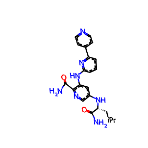 CC(C)C[C@@H](Nc1cnc(C(N)=O)c(Nc2cccc(-c3ccncc3)n2)c1)C(N)=O